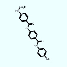 Nc1ccc(NC(=O)c2ccc(NC(=O)c3ccc(NC(=O)O)cc3)cc2)cc1